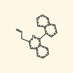 C=CCc1cc2ccccc2c(-c2cccc3ccccc23)n1